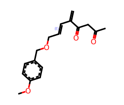 C=C(/C=C/COCc1ccc(OC)cc1)C(=O)CC(C)=O